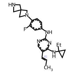 C/C=C/c1cnc(Nc2ccc(N3CC4(CNC4)C3)c(F)c2)nc1NC1(CC)CC1